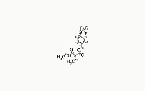 CCOC(=O)C(CC)C(=O)OCc1ccc(OC(F)(F)F)cc1